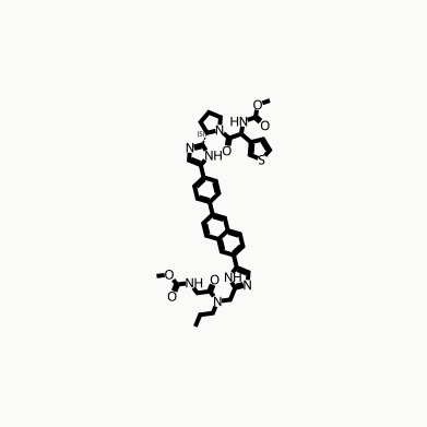 CCCN(Cc1ncc(-c2ccc3cc(-c4ccc(-c5cnc([C@@H]6CCCN6C(=O)C(NC(=O)OC)c6ccsc6)[nH]5)cc4)ccc3c2)[nH]1)C(=O)CNC(=O)OC